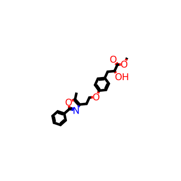 COC(=O)C(O)Cc1ccc(OCCc2nc(-c3ccccc3)oc2C)cc1